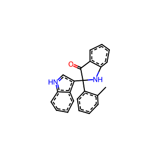 Cc1ccccc1C1(c2c[nH]c3ccccc23)Nc2ccccc2C1=O